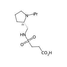 CC(C)N1CCC[C@H]1CNS(=O)(=O)CCC(=O)O